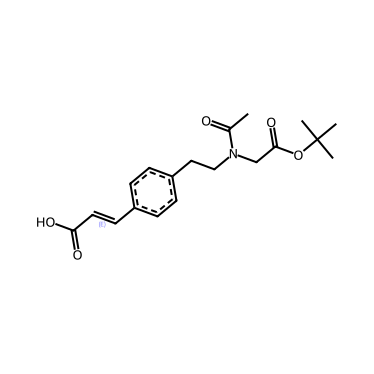 CC(=O)N(CCc1ccc(/C=C/C(=O)O)cc1)CC(=O)OC(C)(C)C